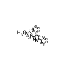 CN1CCN(c2nnc(C3=C=C=CC=C3)cc2-c2ccccc2)CC1